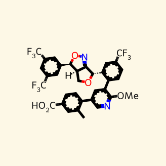 COc1ncc(-c2ccc(C(=O)O)cc2C)cc1-c1ccc(C(F)(F)F)cc1[C@@H]1OC[C@@H]2C1=NO[C@@H]2c1cc(C(F)(F)F)cc(C(F)(F)F)c1